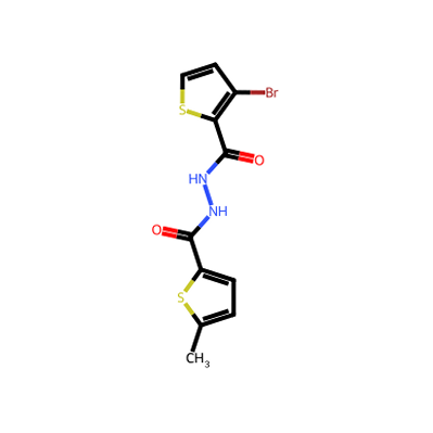 Cc1ccc(C(=O)NNC(=O)c2sccc2Br)s1